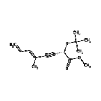 C=C/C=C(\C)C#C[C@H](OC(C)(C)C)C(=O)OC